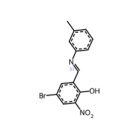 Cc1cccc(/N=C/c2cc(Br)cc([N+](=O)[O-])c2O)c1